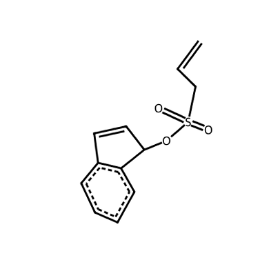 C=CCS(=O)(=O)OC1C=Cc2ccccc21